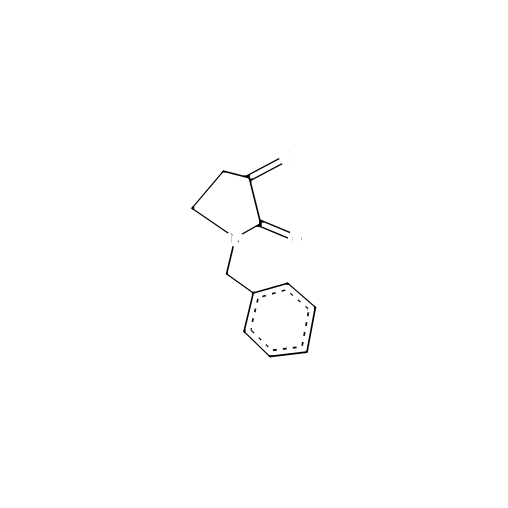 O=C1CCN(Cc2ccccc2)C1=O